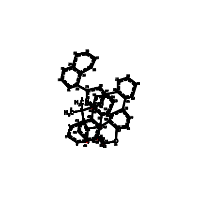 CC1(C)c2ccccc2C2(c3ccccc3Oc3ccc(-c4ccccc4-c4cc(-c5cccc6ccccc56)nc(-c5ccccc5)n4)cc32)c2ccccc21